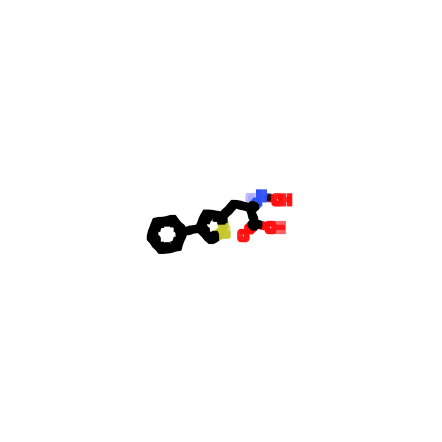 O=C(O)/C(Cc1cc(-c2ccccc2)cs1)=N\O